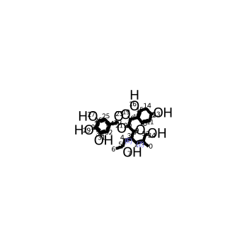 C/C(=C/C(=C\C(C)O)C1OC2=CC(O)CC(O)=C2C(=O)C1OC(=O)c1cc(O)c(O)c(O)c1)CO